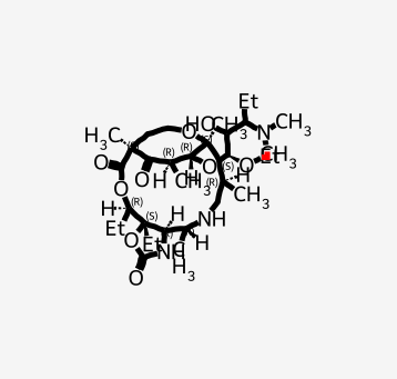 CCO[C@@H](O[C@@H]1[C@@H](C)C(=O)[C@]2(C)CCO[C@@]1(C)C[C@@H](C)CN[C@H](C)[C@H]1NC(=O)O[C@]1(CC)[C@@H](CC)OC2=O)C(O)C(CC)N(C)C